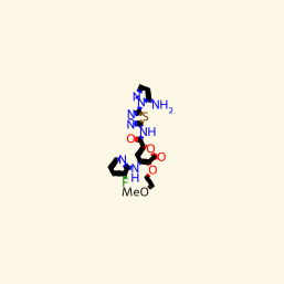 COCCOc1c(Nc2ncccc2F)cc(C(=O)Nc2nnc(-n3nccc3N)s2)oc1=O